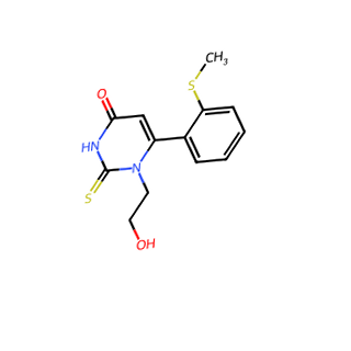 CSc1ccccc1-c1cc(=O)[nH]c(=S)n1CCO